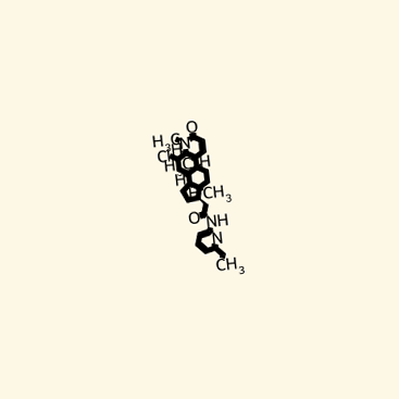 CCc1cccc(NC(=O)C[C@H]2CC[C@H]3[C@@H]4CC(Cl)[C@H]5N(C)C(=O)C=C[C@]5(C)[C@H]4CC[C@]23C)n1